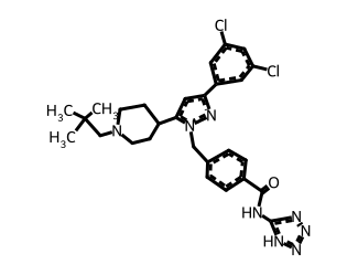 CC(C)(C)CN1CCC(c2cc(-c3cc(Cl)cc(Cl)c3)nn2Cc2ccc(C(=O)Nc3nnn[nH]3)cc2)CC1